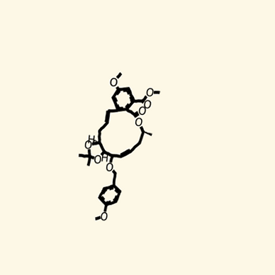 COC(=O)c1cc(OC)cc2c1C(=O)O[C@@H](C)C/C=C\C(OCc1ccc(OC)cc1)[C@H]1OC(C)(C)O[C@H]1C/C=C/2